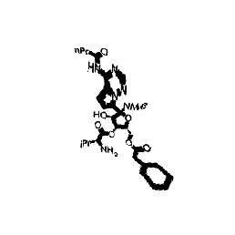 CCCC(=O)Nc1ncnn2c([C@]3(NC)O[C@H](COC(=O)CC4CCCCC4)[C@@H](OC(=O)[C@@H](N)C(C)C)[C@H]3O)ccc12